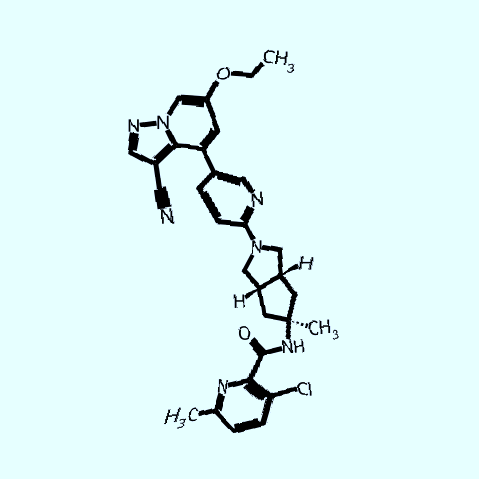 CCOc1cc(-c2ccc(N3C[C@@H]4C[C@@](C)(NC(=O)c5nc(C)ccc5Cl)C[C@@H]4C3)nc2)c2c(C#N)cnn2c1